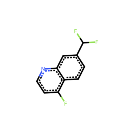 Fc1ccnc2cc(C(F)F)ccc12